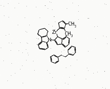 CC1=CC[C]([Zr][CH]2C(n3c4c(c5ccccc53)CCCC4)=Cc3ccccc32)=C1C.c1ccc(CCc2ccccc2)cc1